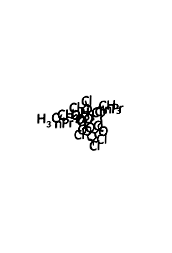 CCCC(C)(C)CCCOC(=O)c1c(Cl)c(Cl)cc(Cl)c1OC(=O)C(=O)Oc1c(Cl)cc(Cl)c(Cl)c1C(=O)OCCCC(C)(C)CCC